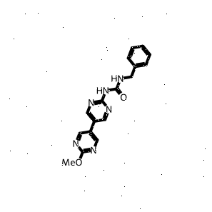 COc1ncc(-c2cnc(NC(=O)NCc3ccccc3)nc2)cn1